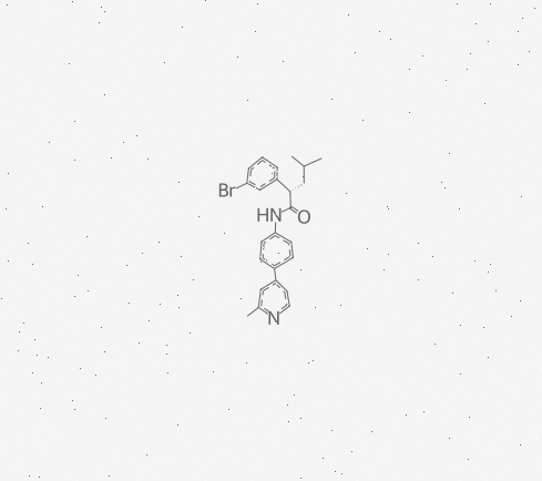 Cc1cc(-c2ccc(NC(=O)[C@@H](CC(C)C)c3cccc(Br)c3)cc2)ccn1